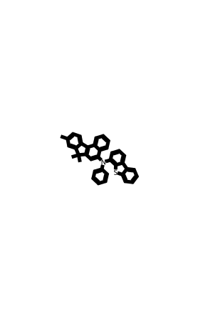 Cc1ccc2c(c1)C(C)(C)c1cc(N(c3ccccc3)c3cccc4c3sc3ccccc34)c3ccccc3c1-2